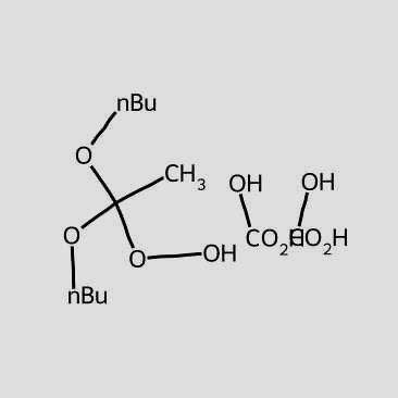 CCCCOC(C)(OO)OCCCC.O=C(O)O.O=C(O)O